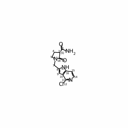 NC(=O)[C@@H]1CCN(Cc2cc3c(Cl)nccc3[nH]2)C1=O